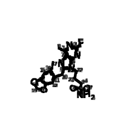 Cc1nc(F)nc2c1nc(Cc1cc3c(cc1I)OCO3)n2CCCS(N)(=O)=O